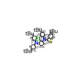 CC(C)(C)c1ccc(N(c2ccc(C(C)(C)C)cc2)c2cccc(N(c3ccc(C(C)(C)C)cc3)c3csc4ccc(C(C)(C)C)cc34)c2Cl)cc1